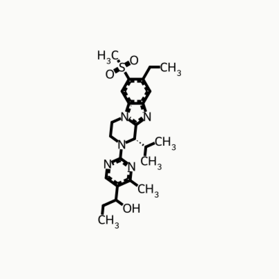 CCc1cc2nc3n(c2cc1S(C)(=O)=O)CCN(c1ncc(C(O)CC)c(C)n1)[C@H]3C(C)C